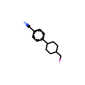 N#Cc1ccc(C2CCC(CI)CC2)cc1